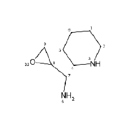 C1CCNCC1.NCC1CO1